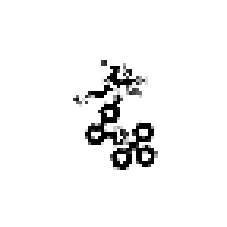 CCCc1nc(C(=O)O)c(C(C)(C)O)n1Cc1ccc(-c2ccccc2-c2nnn(C(c3ccccc3)(c3ccccc3)c3ccccc3)n2)cc1